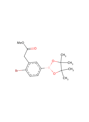 COC(=O)Cc1cc(B2OC(C)(C)C(C)(C)O2)ccc1Br